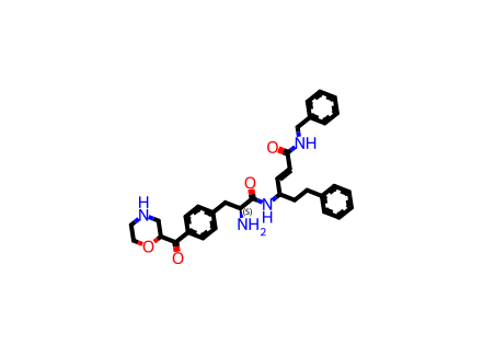 N[C@@H](Cc1ccc(C(=O)C2CNCCO2)cc1)C(=O)NC(C=CC(=O)NCc1ccccc1)CCc1ccccc1